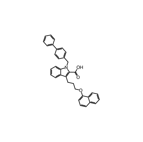 O=C(O)c1c(CCCOc2cccc3ccccc23)c2ccccc2n1Cc1ccc(-c2ccccc2)cc1